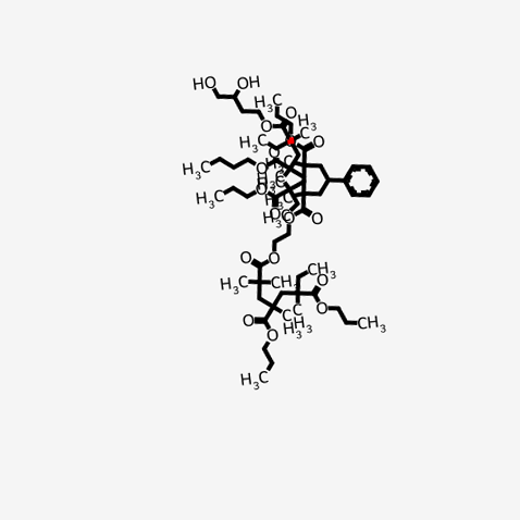 CCCCOC(=O)C(C)(CC(C)(CC)C(=O)OCCC(O)CO)CC(C)(CC(CC(C)(CC(C)(CC)C(=O)OCCC)C(=O)OCCC)c1ccccc1)C(=O)OCCOC(=O)C(C)(C)CC(C)(CC(C)(CC)C(=O)OCCC)C(=O)OCCC